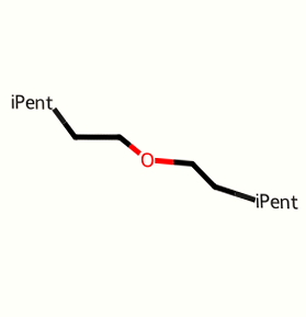 CCCC(C)CCOCCC(C)CCC